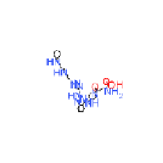 N[C@@H](CCC(=O)N1CCC(Nc2nc(NCc3cn(CCCCNCCCNC4CCCCC4)nn3)nc3ccccc23)CC1)C(=O)O